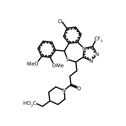 COc1cccc(C2SC(CCC(=O)N3CCC(CC(=O)O)CC3)c3nnc(C(F)(F)F)n3-c3ccc(Cl)cc32)c1OC